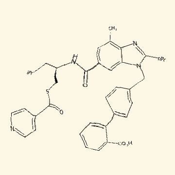 CCCc1nc2c(C)cc(C(=O)N[C@@H](CSC(=O)c3ccncc3)CC(C)C)cc2n1Cc1ccc(-c2ccccc2C(=O)O)cc1